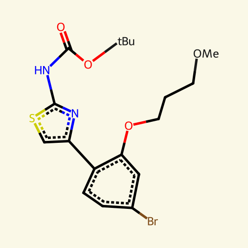 COCCCOc1cc(Br)ccc1-c1csc(NC(=O)OC(C)(C)C)n1